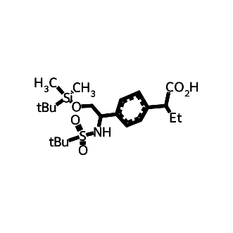 CCC(C(=O)O)c1ccc(C(CO[Si](C)(C)C(C)(C)C)NS(=O)(=O)C(C)(C)C)cc1